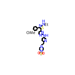 CCNc1nc(-c2cccc(OC)c2)c(-c2ccnc(Nc3ccc(CCN4CCN(S(C)(=O)=O)CC4)nc3)n2)s1